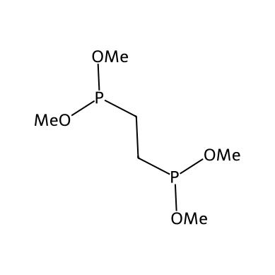 COP(CCP(OC)OC)OC